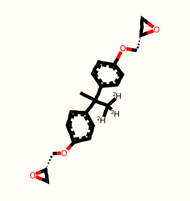 [2H]C([2H])([2H])C(C)(c1ccc(OC[C@@H]2CO2)cc1)c1ccc(OC[C@@H]2CO2)cc1